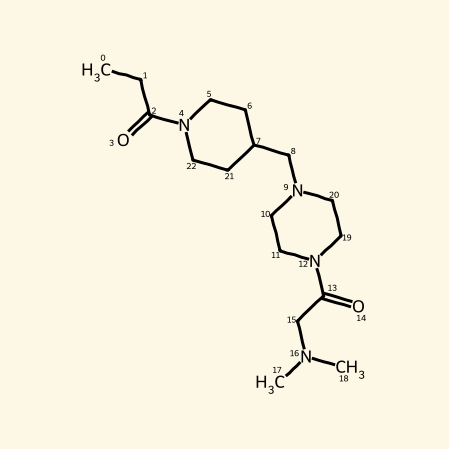 CCC(=O)N1CCC(CN2CCN(C(=O)CN(C)C)CC2)CC1